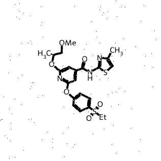 CCS(=O)(=O)c1ccc(Oc2cc(C(=O)Nc3nc(C)cs3)cc(O[C@H](C)COC)n2)cc1